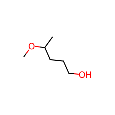 COC(C)CCCO